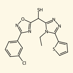 CCn1c(-c2cccs2)nnc1C(S)c1nc(-c2cccc(Cl)c2)no1